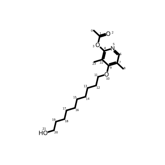 CC(=O)Oc1ncc(C)c(OCCCCCCCCCCO)c1C